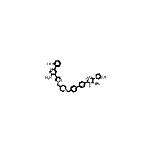 CC(C)(C)[C@H](NC(=O)c1ccc(-c2ccc(CN3CCC(Cn4cc(-c5cc(-c6ccccc6O)nnc5N)cn4)CC3)cc2)cc1)C(=O)N1CC[C@@H](O)C1